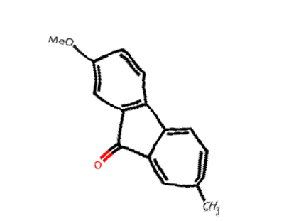 COc1ccc2c(c1)C(=O)c1cc(C)ccc1-2